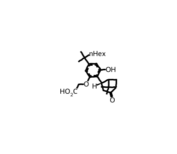 CCCCCCC(C)(C)c1cc(O)c([C@H]2CC(=O)C3CC2C3(C)C)c(OCC(=O)O)c1